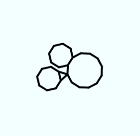 C1CCCCC2CCCCCCC2C2(CCCC1)C1CCCCCCC12